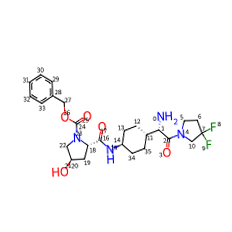 N[C@H](C(=O)N1CCC(F)(F)C1)[C@H]1CC[C@H](NC(=O)[C@@H]2C[C@@H](O)CN2C(=O)OCc2ccccc2)CC1